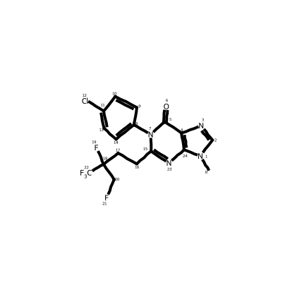 Cn1cnc2c(=O)n(-c3ccc(Cl)cc3)c(CCC(F)(CF)C(F)(F)F)nc21